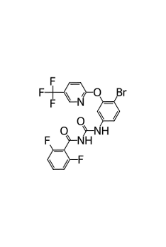 O=C(NC(=O)c1c(F)cccc1F)Nc1ccc(Br)c(Oc2ccc(C(F)(F)F)cn2)c1